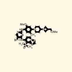 COCC1CN(C2CCN(c3cc(OC)c(Nc4ncc(Br)c(Nc5ccn6ncnc6c5P(C)(C)=O)n4)cc3C)CC2)C1